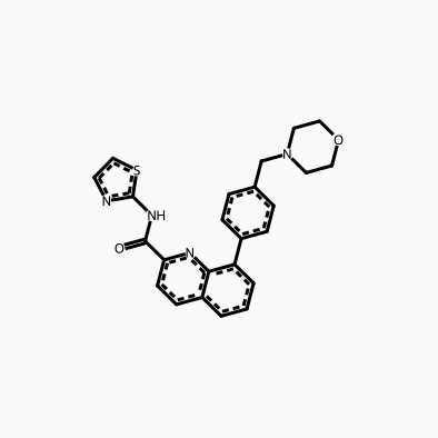 O=C(Nc1nccs1)c1ccc2cccc(-c3ccc(CN4CCOCC4)cc3)c2n1